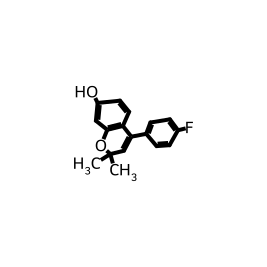 CC1(C)C=C(c2ccc(F)cc2)c2ccc(O)cc2O1